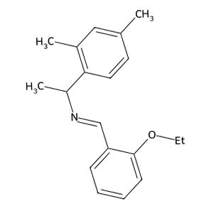 CCOc1ccccc1C=NC(C)c1ccc(C)cc1C